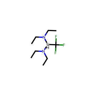 CCN(CC)[SiH](N(CC)CC)C(F)(F)F